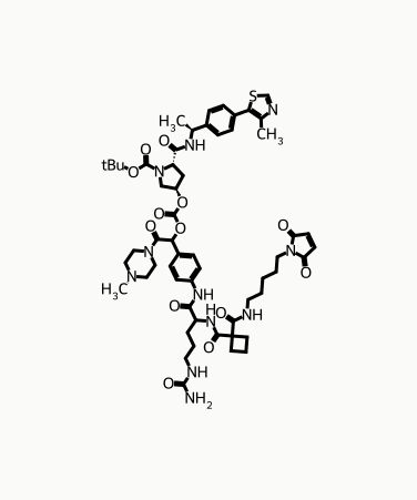 Cc1ncsc1-c1ccc([C@H](C)NC(=O)[C@@H]2C[C@@H](OC(=O)OC(C(=O)N3CCN(C)CC3)c3ccc(NC(=O)C(CCCNC(N)=O)NC(=O)C4(C(=O)NCCCCCN5C(=O)C=CC5=O)CCC4)cc3)CN2C(=O)OC(C)(C)C)cc1